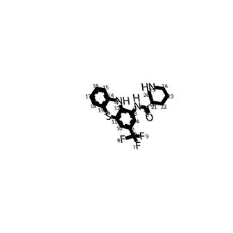 O=C(Nc1cc(C(F)(F)F)cc2c1Nc1ccccc1S2)[C@H]1CCCNC1